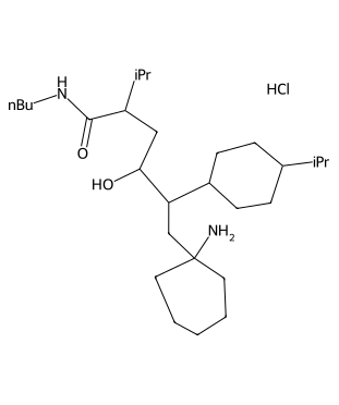 CCCCNC(=O)C(CC(O)C(CC1(N)CCCCC1)C1CCC(C(C)C)CC1)C(C)C.Cl